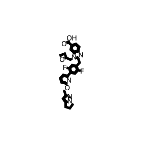 O=C(O)c1ccc2nc(Cc3cc(F)c(-c4cccc(OCc5cc6n(n5)CCC6)n4)cc3F)n(CC3CCO3)c2c1